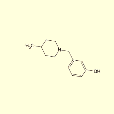 [CH2]C1CCN(Cc2cccc(O)c2)CC1